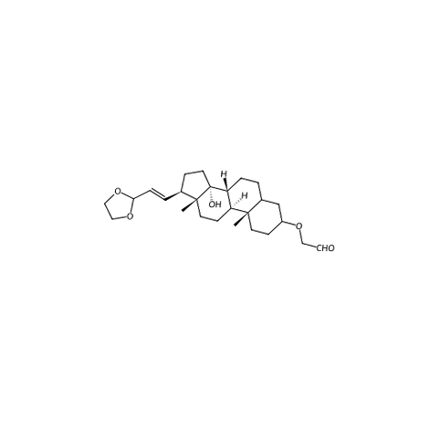 C[C@]12CCC(OCC=O)CC1CC[C@@H]1[C@@H]2CC[C@]2(C)[C@@H](/C=C/C3OCCO3)CC[C@@]12O